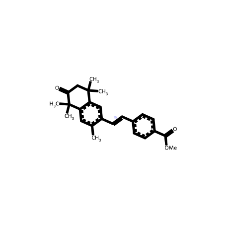 COC(=O)c1ccc(/C=C/c2cc3c(cc2C)C(C)(C)C(=O)CC3(C)C)cc1